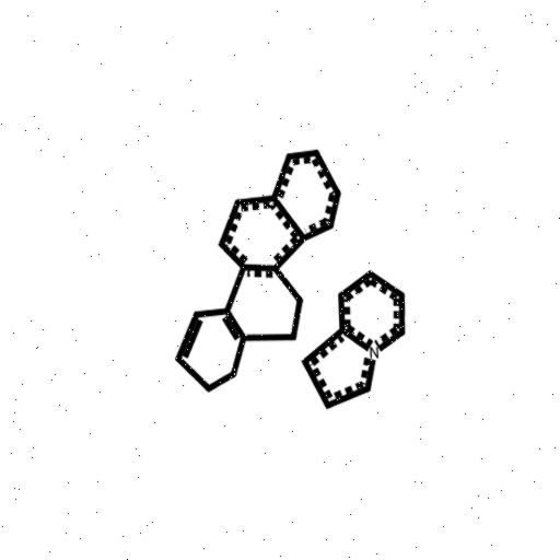 C1=CC2=C(CC1)CCc1c2ccc2ccccc12.c1ccn2cccc2c1